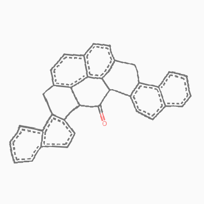 O=C1C2c3ccc4ccccc4c3Cc3ccc4ccc5c(c4c32)C1c1ccc2ccccc2c1C5